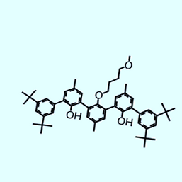 COCCCCOc1c(-c2cc(C)cc(-c3cc(C(C)(C)C)cc(C(C)(C)C)c3)c2O)cc(C)cc1-c1cc(C)cc(-c2cc(C(C)(C)C)cc(C(C)(C)C)c2)c1O